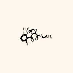 CCOC(=O)C1OCC(C)(C)N1C(=O)c1ccccc1F